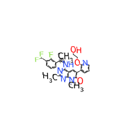 Cc1nc(N[C@H](C)c2cccc(C(F)F)c2F)c2cc(-c3cccnc3OCCO)c(=O)n(C)c2n1